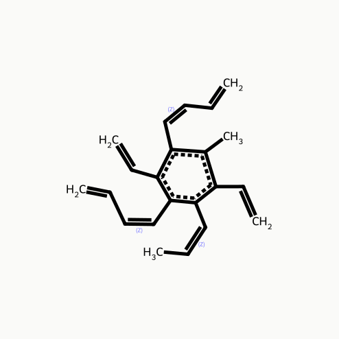 C=C/C=C\c1c(C)c(C=C)c(/C=C\C)c(/C=C\C=C)c1C=C